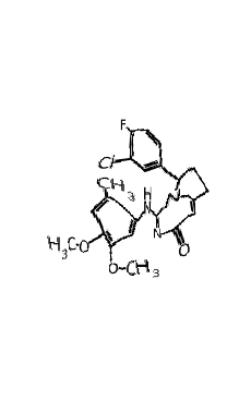 COc1cc(C)c(Nc2nc(=O)cc3n2C(c2ccc(F)c(Cl)c2)CC3)cc1OC